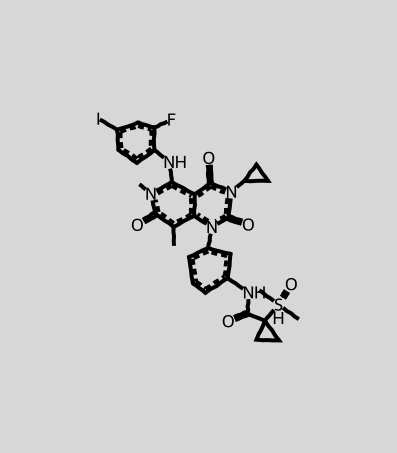 Cc1c(=O)n(C)c(Nc2ccc(I)cc2F)c2c(=O)n(C3CC3)c(=O)n(-c3cccc(NC(=O)C4([SH](C)(C)=O)CC4)c3)c12